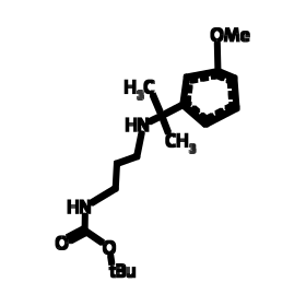 COc1cccc(C(C)(C)NCCCNC(=O)OC(C)(C)C)c1